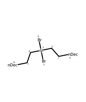 CCCCCCCCCCCC[Si](Br)(Br)CCCCCCCCCCCC